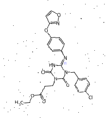 CCOC(=O)CCn1c(=O)[nH]/c(=N\c2ccc(Oc3ccon3)cc2)n(Cc2ccc(Cl)cc2)c1=O